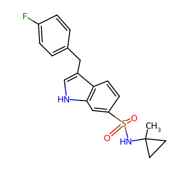 CC1(NS(=O)(=O)c2ccc3c(Cc4ccc(F)cc4)c[nH]c3c2)CC1